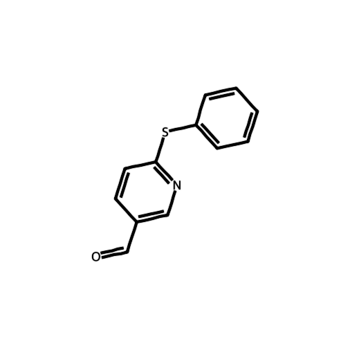 O=Cc1ccc(Sc2ccccc2)nc1